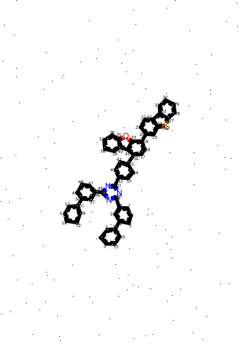 c1ccc(-c2cccc(-c3nc(-c4ccc(-c5ccc(-c6ccc7c(c6)sc6ccccc67)c6oc7ccccc7c56)cc4)nc(-c4cccc(-c5ccccc5)c4)n3)c2)cc1